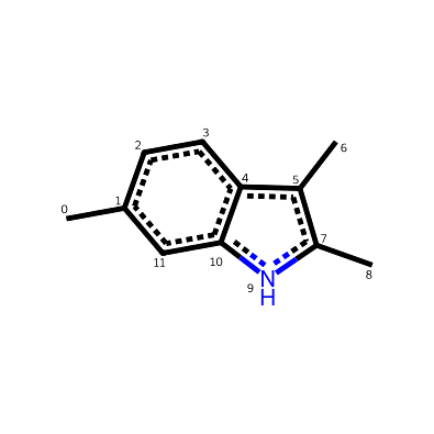 Cc1ccc2c(C)c(C)[nH]c2c1